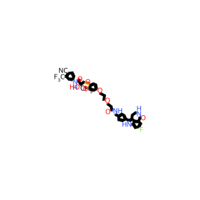 C[C@](O)(CS(=O)(=O)c1ccc(OCCCOCCC(=O)NCc2ccc(-c3[nH]c4cc(F)cc5c4c3CCNC5=O)cc2)cc1)C(=O)Nc1ccc(C#N)c(C(F)(F)F)c1